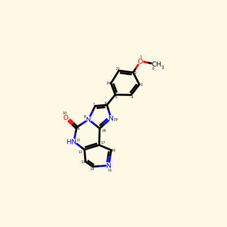 COc1ccc(-c2cn3c(=O)[nH]c4ccncc4c3n2)cc1